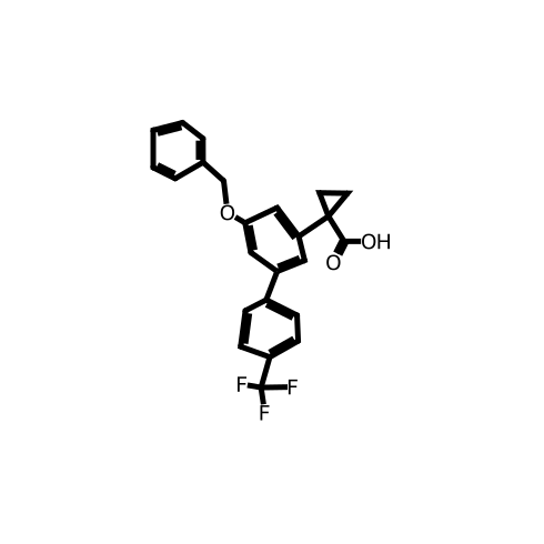 O=C(O)C1(c2cc(OCc3ccccc3)cc(-c3ccc(C(F)(F)F)cc3)c2)CC1